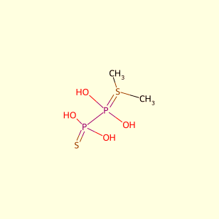 CS(C)=P(O)(O)P(O)(O)=S